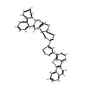 c1cc(-c2ccc3oc4nc5c6ccccc6c6ccccc6c5nc4c3c2)cc(-c2cccc3c2oc2c4ccccc4ccc32)c1